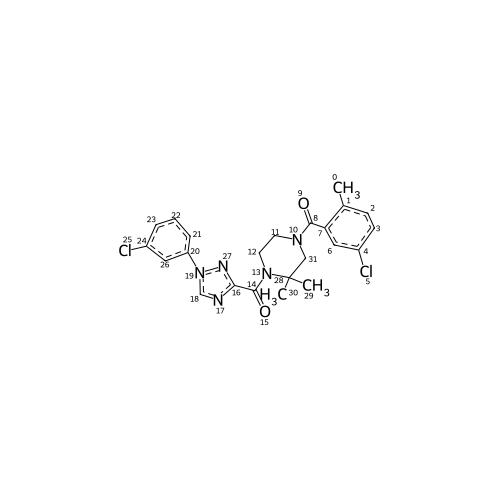 Cc1ccc(Cl)cc1C(=O)N1CCN(C(=O)c2ncn(-c3cccc(Cl)c3)n2)C(C)(C)C1